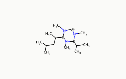 CC(C)CC(C)B1N(C)BN(C)B(C(C)C)N1C